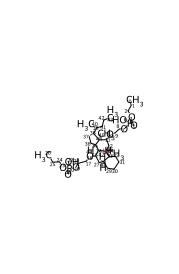 CCCOP(=O)(O)OCCO[C@H]1C[C@H]2[C@@H]([C@H](OCCOP(=O)(O)OCCC)C[C@@H]3CCCC[C@@]32C)[C@@H]2CC[C@H]([C@H](C)CCC)[C@@]12C